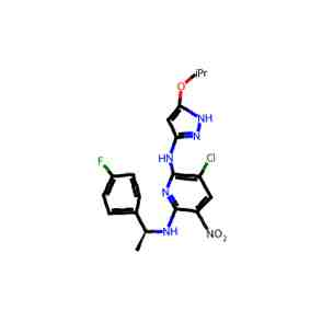 CC(C)Oc1cc(Nc2nc(N[C@@H](C)c3ccc(F)cc3)c([N+](=O)[O-])cc2Cl)n[nH]1